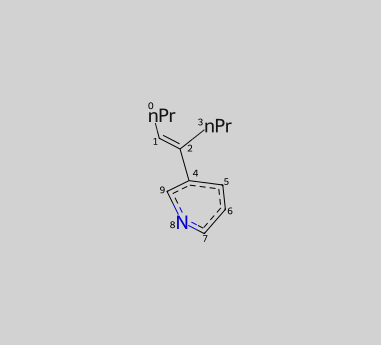 CCCC=C(CCC)c1cccnc1